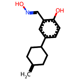 C=C1CCC(c2ccc(O)c(C=NO)c2)CC1